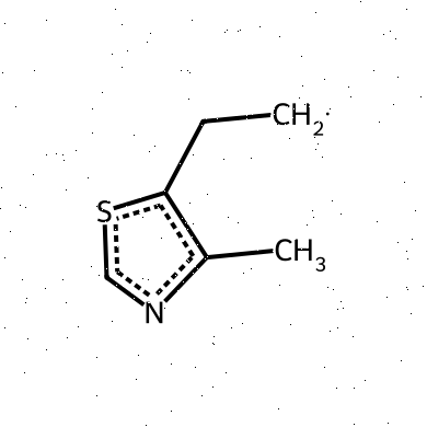 [CH2]Cc1scnc1C